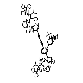 COC(=O)N[C@H](C(=O)N1CCC[C@H]1c1ncc(C#CC#Cc2ccc(-c3cnc([C@@H]4CCCN4C(=O)[C@@H](NC(=O)OC)C(C)C)[nH]3)cc2-c2cccc(C(C)(C)C)c2)[nH]1)C(C)C.Cl.Cl